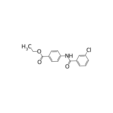 CCOC(=O)c1ccc(NC(=O)c2cccc(Cl)c2)cc1